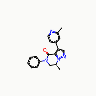 Cc1cc(-c2cnn3c2C(=O)N(c2ccccc2)C[C@@H]3C)ccn1